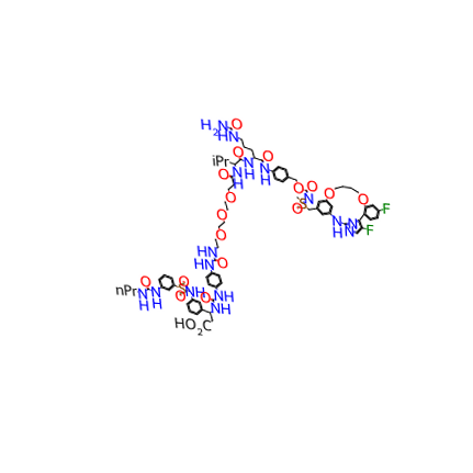 CCCNC(=O)Nc1cccc(S(=O)(=O)Nc2cccc(C(CC(=O)O)NC(=O)Nc3ccc(NC(=O)NCCOCCOCCOCCC(=O)NC(C(=O)NC(CCCNC(N)=O)C(=O)Nc4ccc(COC(=O)N=S(C)(=O)Cc5cc6cc(c5)OCCCCOc5cc(F)ccc5-c5nc(ncc5F)N6)cc4)C(C)C)cc3)c2)c1